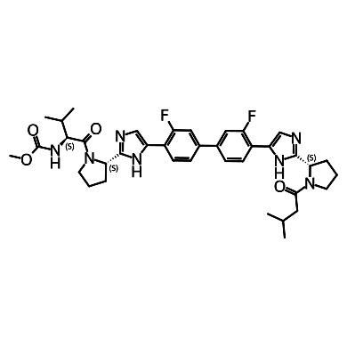 COC(=O)N[C@H](C(=O)N1CCC[C@H]1c1ncc(-c2ccc(-c3ccc(-c4cnc([C@@H]5CCCN5C(=O)CC(C)C)[nH]4)c(F)c3)cc2F)[nH]1)C(C)C